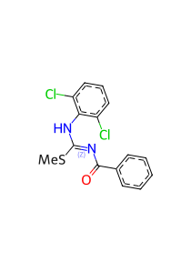 CS/C(=N\C(=O)c1ccccc1)Nc1c(Cl)cccc1Cl